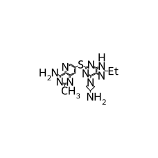 CCc1nc2c(N3CC(N)C3)nc(Sc3cnc4c(N)nc(C)nc4c3)nc2[nH]1